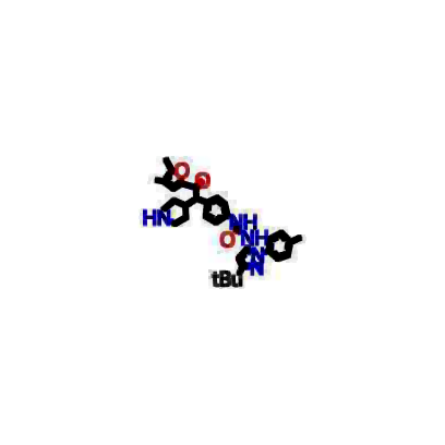 Cc1ccc(-n2nc(C(C)(C)C)cc2NC(=O)Nc2ccc(C(C(=O)c3cc(C)c(C)o3)C3CCNCC3)cc2)cc1